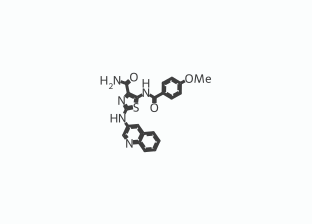 COc1ccc(C(=O)Nc2sc(Nc3cnc4ccccc4c3)nc2C(N)=O)cc1